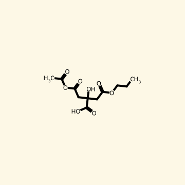 CCCOC(=O)CC(O)(CC(=O)OC(C)=O)C(=O)O